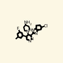 Cc1cc(F)cc(-c2cnnc(-c3nc4cc(Cl)ccc4[nH]3)c2N2CCC(N)CC2)c1